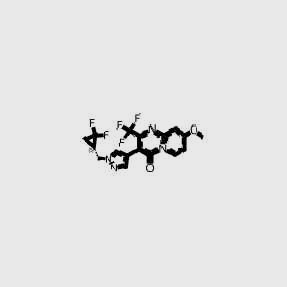 COc1ccn2c(=O)c(-c3cnn(C[C@@H]4CC4(F)F)c3)c(C(F)(F)F)nc2c1